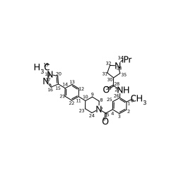 Cc1ccc(C(=O)N2CCC(c3ccc(-c4cnn(C)c4)cc3)CC2)cc1NC(=O)C1CCN(C(C)C)C1